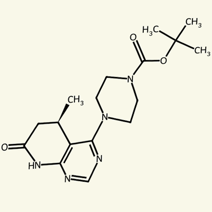 C[C@@H]1CC(=O)Nc2ncnc(N3CCN(C(=O)OC(C)(C)C)CC3)c21